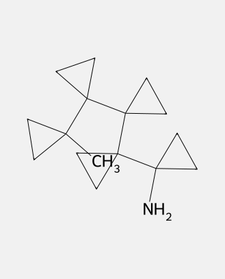 CC1(C2(C3(C4(C5(N)CC5)CC4)CC3)CC2)CC1